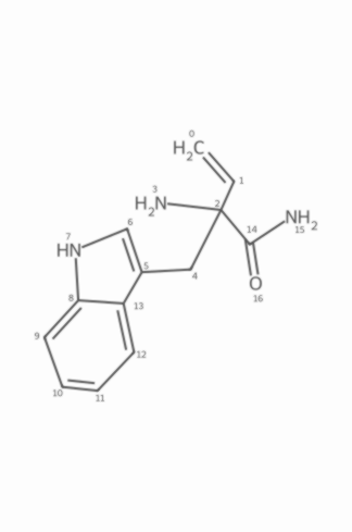 C=CC(N)(Cc1c[nH]c2ccccc12)C(N)=O